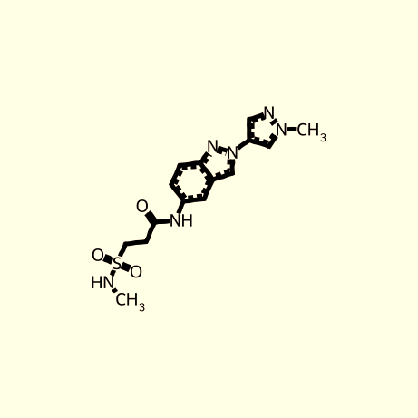 CNS(=O)(=O)CCC(=O)Nc1ccc2nn(-c3cnn(C)c3)cc2c1